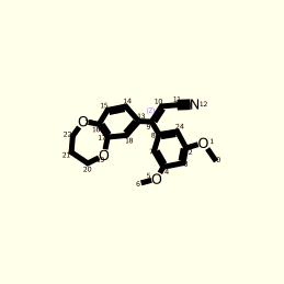 COc1cc(OC)cc(/C(=C\C#N)c2ccc3c(c2)OCCCO3)c1